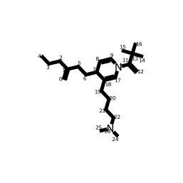 C=C(CCC)CCC1C=CN(C(=C)C(C)(C)C)C=C1CCCCN(C)C